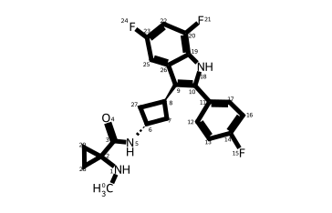 CNC1(C(=O)N[C@H]2C[C@H](c3c(-c4ccc(F)cc4)[nH]c4c(F)cc(F)cc43)C2)CC1